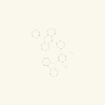 N#Cc1cc(C#N)c(-n2c3ccccc3c3ccccc32)cc1-c1cccc(-c2c3ccccc3c(-c3ccccc3)c3ccccc23)c1